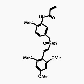 C=CC(=O)Nc1cc(CS(=O)(=O)C=Cc2c(OC)cc(OC)cc2OC)ccc1OC